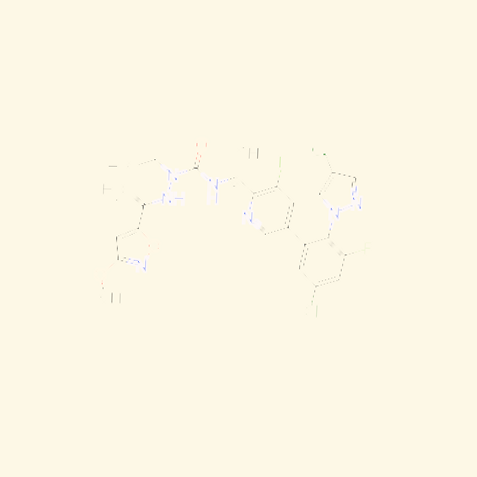 C=C(NN(CC)C(=O)N[C@H](C)c1ncc(-c2cc(Cl)cc(F)c2-n2cc(Cl)cn2)cc1F)c1cc(OC)no1